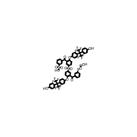 O=C(c1cccc(SOOO)c1)c1cc(S(=O)(=O)c2ccc(Oc3ccc(C(c4ccc(O)cc4)(C(F)(F)F)C(F)(F)F)cc3)c(C(=O)c3cccc(S(=O)(=O)O)c3)c2)ccc1Oc1ccc(C(c2ccc(O)cc2)(C(F)(F)F)C(F)(F)F)cc1